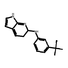 CC(C)(C)c1cccc(NC2CC=c3cc[nH]c3=N2)c1